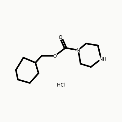 Cl.O=C(OCC1CCCCC1)N1CCNCC1